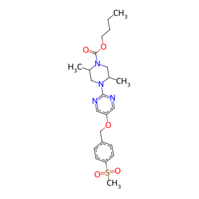 CCCCOC(=O)N1CC(C)N(c2ncc(OCc3ccc(S(C)(=O)=O)cc3)cn2)CC1C